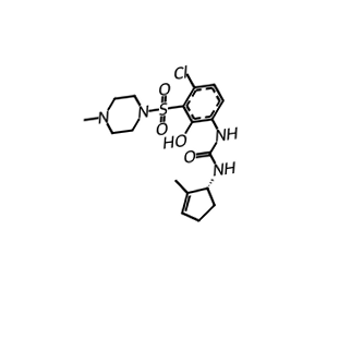 CC1=CCC[C@H]1NC(=O)Nc1ccc(Cl)c(S(=O)(=O)N2CCN(C)CC2)c1O